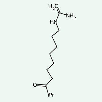 C=C(N)NCCCCCCCC(=O)C(C)C